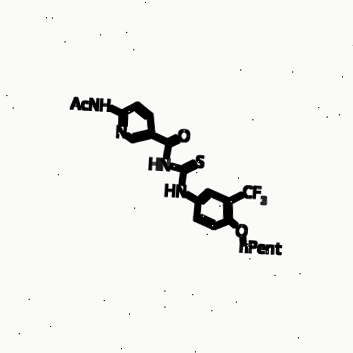 CCCCCOc1ccc(NC(=S)NC(=O)c2ccc(NC(C)=O)nc2)cc1C(F)(F)F